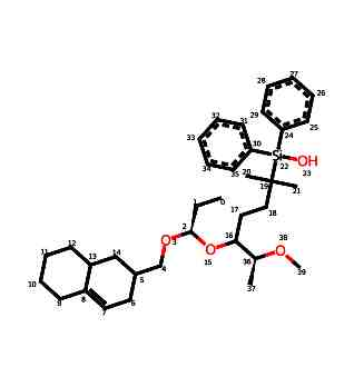 CC[C@H](OCC1CC=C2CCCCC2C1)OC(CCC(C)(C)[Si](O)(c1ccccc1)c1ccccc1)[C@H](C)OC